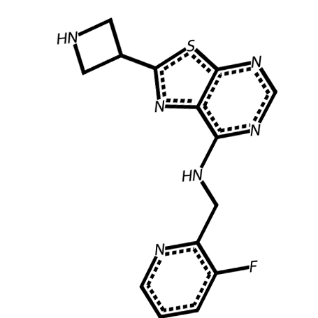 Fc1cccnc1CNc1ncnc2sc(C3CNC3)nc12